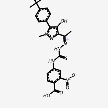 C/C(=N/NC(=S)Nc1ccc(C(=O)O)c([N+](=O)[O-])c1)c1nn(C)c(-c2ccc(C(C)(C)C)cc2)c1O